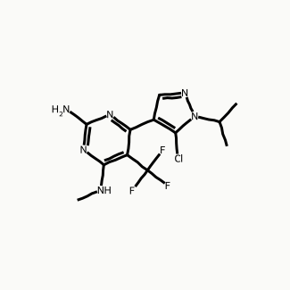 CNc1nc(N)nc(-c2cnn(C(C)C)c2Cl)c1C(F)(F)F